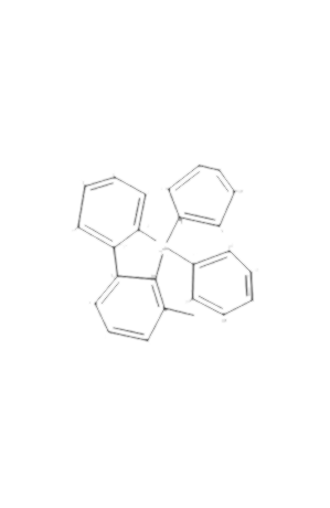 Cc1cccc2c1[Si](c1ccccc1)(c1ccccc1)c1ccccc1-2